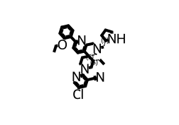 CCOc1ccccc1-c1ccc2c(n1)CN(C[C@@H]1CCCN1)C[C@]21CCN(c2ncc(Cl)cc2C#N)C[C@H]1CC